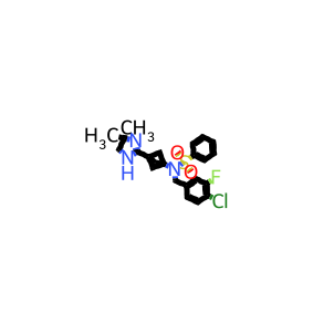 CC1(C)CNC(C23CC(N(Cc4ccc(Cl)c(F)c4)S(=O)(=O)c4ccccc4)(C2)C3)=N1